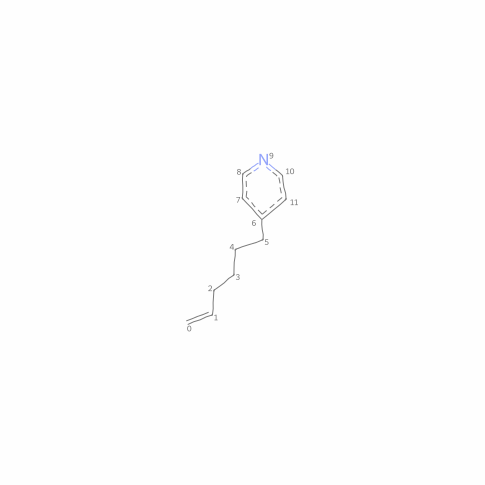 C=CCCCCc1ccncc1